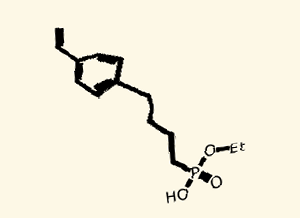 C=Cc1ccc(CCCCP(=O)(O)OCC)cc1